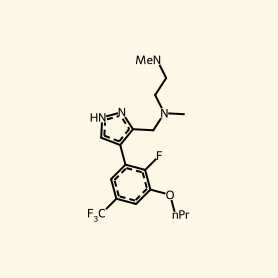 CCCOc1cc(C(F)(F)F)cc(-c2c[nH]nc2CN(C)CCNC)c1F